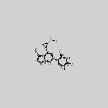 CC[C@H]1C[C@@H]1c1cc(-c2c[nH]c(=O)[nH]c2=O)nn2ccc(F)c12